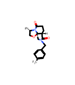 CC(C)[C@H]1CO[C@]23CCN(Cc4ccc(C(F)(F)F)cc4)C(=O)[C@H]2CCC(=O)N13